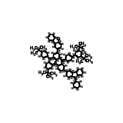 CC(C)(C)c1ccc(N2c3ccc(C(C)(C)C)cc3B3c4ccc(-c5ccc6c(c5)c5ccccc5n6-c5ccccc5)cc4N(c4ccc(-c5cc(C(C)(C)C)cc(C(C)(C)C)c5)cc4)c4cc(-c5ccc6oc7ccccc7c6c5)cc2c43)cc1